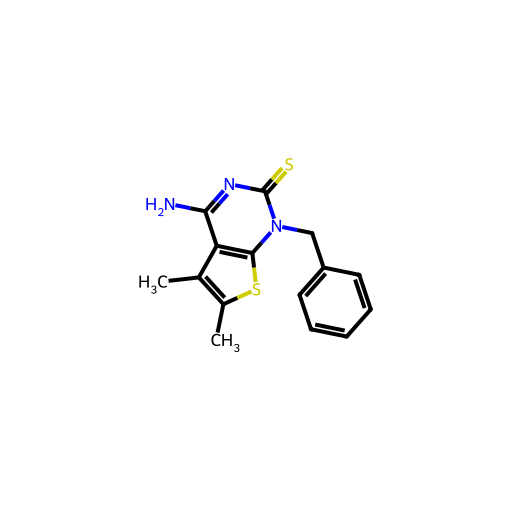 Cc1sc2c(c(N)nc(=S)n2Cc2ccccc2)c1C